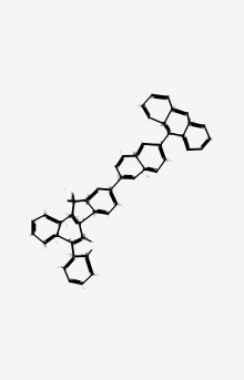 CC1(C)c2cc(-c3ccc4cc(-c5c6ccccc6cc6ccccc56)ccc4c3)ccc2-c2c1c1ccccc1c1c2sc2ccccc21